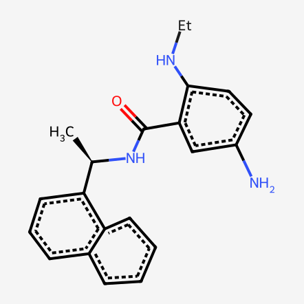 CCNc1ccc(N)cc1C(=O)N[C@H](C)c1cccc2ccccc12